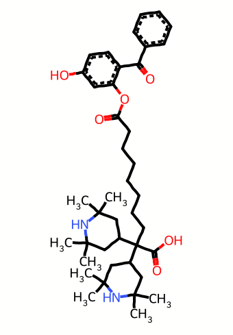 CC1(C)CC(C(CCCCCCCC(=O)Oc2cc(O)ccc2C(=O)c2ccccc2)(C(=O)O)C2CC(C)(C)NC(C)(C)C2)CC(C)(C)N1